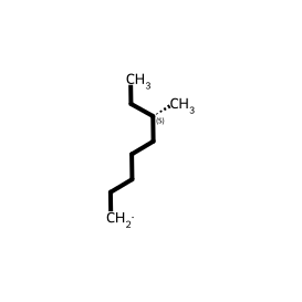 [CH2]CCCC[C@@H](C)CC